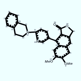 COc1cc2cc3c(c(-c4ccc(N5CCc6ccccc6C5)nc4)c2cc1OC)C(=O)OC3